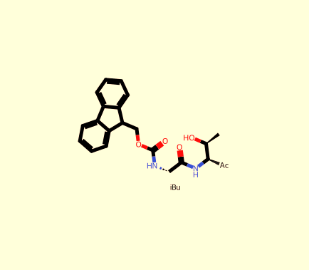 CC[C@H](C)[C@H](NC(=O)OCC1c2ccccc2-c2ccccc21)C(=O)N[C@H](C(C)=O)[C@H](C)O